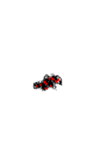 COc1ccc(-c2cc3oc4cc(-c5ccc(OC)cc5)c5ccccc5c4c3c3ccccc23)cc1